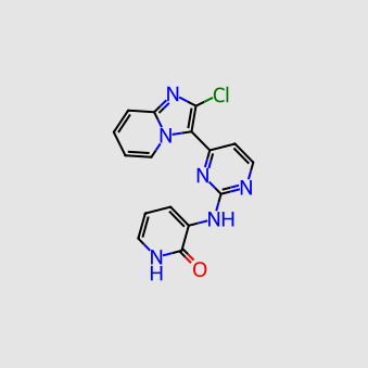 O=c1[nH]cccc1Nc1nccc(-c2c(Cl)nc3ccccn23)n1